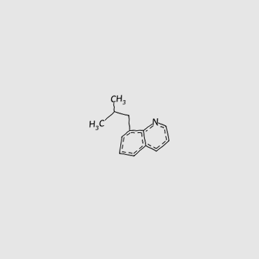 CC(C)Cc1cccc2cccnc12